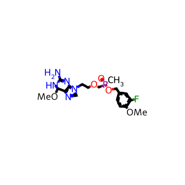 COc1ccc(COP(C)(=O)COCCn2cnc3c2N=C(N)NC3OC)cc1F